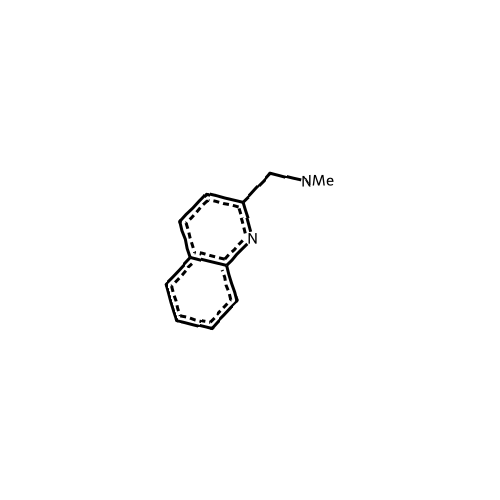 CNCc1ccc2ccccc2n1